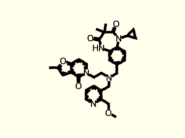 COCc1ncccc1CN(CCn1ccc2oc(C)cc2c1=O)Cc1ccc2c(c1)NC(=O)C(C)(C)C(=O)N2C1CC1